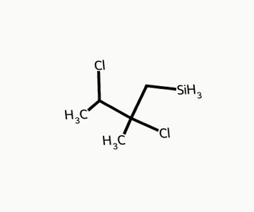 CC(Cl)C(C)(Cl)C[SiH3]